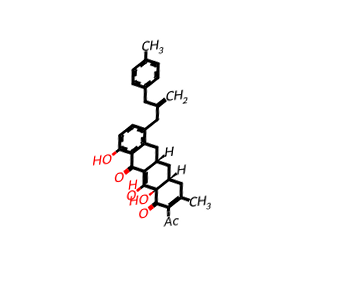 C=C(Cc1ccc(C)cc1)Cc1ccc(O)c2c1C[C@@H]1C[C@@H]3CC(C)=C(C(C)=O)C(=O)[C@]3(O)C(O)=C1C2=O